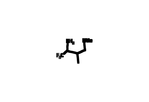 CNCC(C)C(N)C(F)(F)F